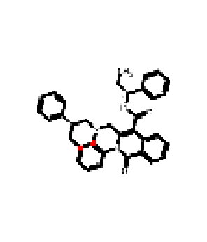 CC[C@H](NC(=O)c1c(CN2CCC[C@@H](c3ccccc3)C2)n(-c2ccccc2)c(=O)c2ccccc12)c1ccccc1